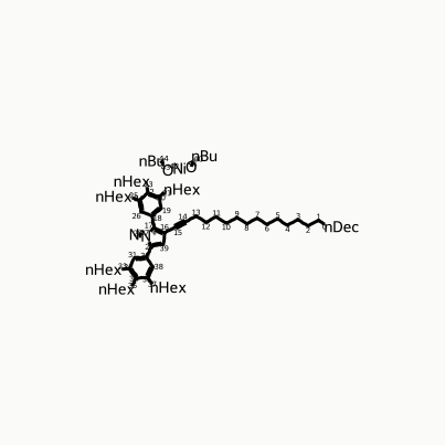 CCCCCCCCCCCCCCCCCCCCCCCC#CC1=C(c2cc(CCCCCC)c(CCCCCC)c(CCCCCC)c2)[N+](=[N-])C(c2cc(CCCCCC)c(CCCCCC)c(CCCCCC)c2)=C1.CCCC[O][Ni][O]CCCC